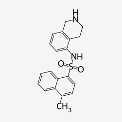 Cc1ccc(S(=O)(=O)Nc2cccc3c2CCNC3)c2ccccc12